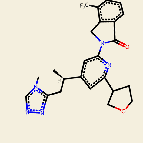 C[C@H](Cc1nncn1C)c1cc(C2CCOC2)nc(N2Cc3c(cccc3C(F)(F)F)C2=O)c1